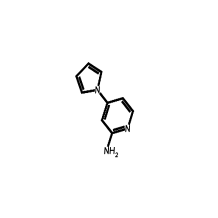 Nc1cc(-n2cccc2)ccn1